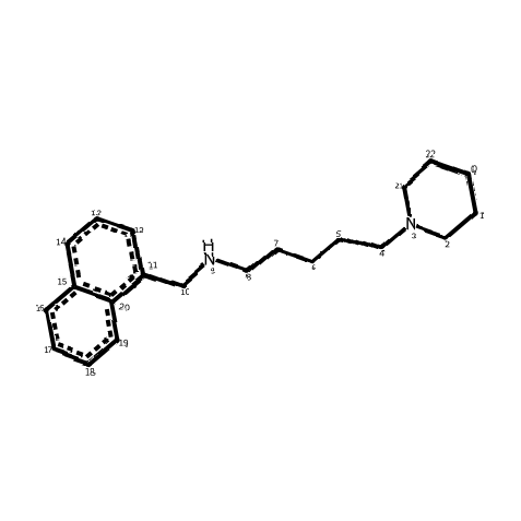 [CH]1CCN(CCCCCNCc2cccc3ccccc23)CC1